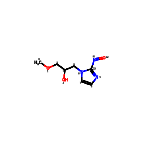 COCC(O)Cn1ccnc1N=O